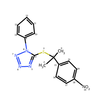 CC(C)(Sc1nnnn1-c1ccccc1)c1ccc([N+](=O)[O-])cc1